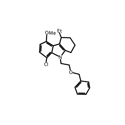 [CH2]CC1CCCc2c1c1c(OC)ccc(Cl)c1n2CCOCc1ccccc1